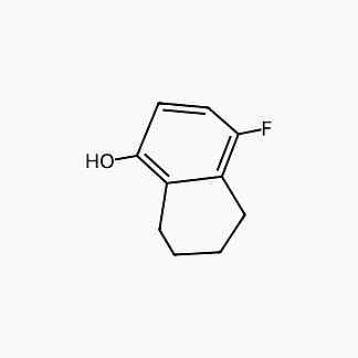 Oc1ccc(F)c2c1CCCC2